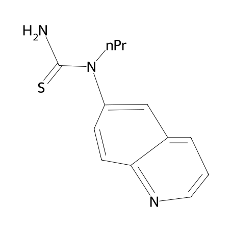 CCCN(C(N)=S)c1ccc2ncccc2c1